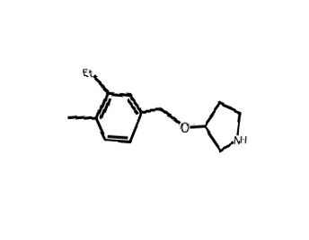 CCc1cc(COC2CCNC2)ccc1C